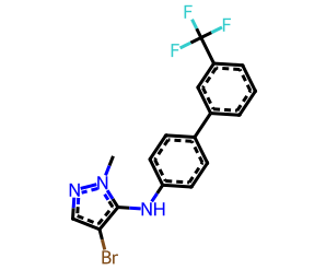 Cn1ncc(Br)c1Nc1ccc(-c2cccc(C(F)(F)F)c2)cc1